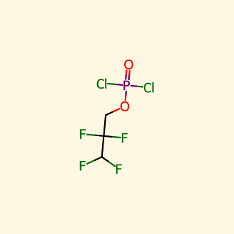 O=P(Cl)(Cl)OCC(F)(F)C(F)F